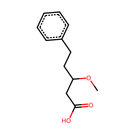 COC(CCc1ccccc1)CC(=O)O